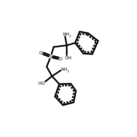 NC(O)(CS(=O)(=O)CC(N)(O)c1ccccc1)c1ccccc1